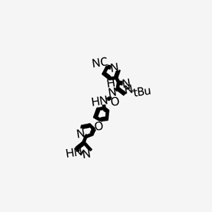 CC(C)(C)n1cc(NC(=O)Nc2ccc(Oc3ccnc(-c4cn[nH]c4)c3)cc2)c(-c2ccc(C#N)nc2)n1